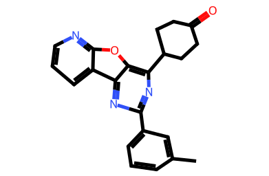 Cc1cccc(-c2nc(C3CCC(=O)CC3)c3oc4ncccc4c3n2)c1